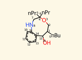 CCCCC1COC(CCC)(CCC)CNc2ccccc2C1O